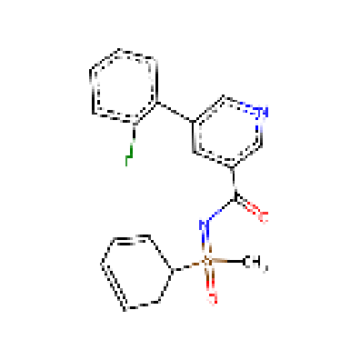 CS(=O)(=NC(=O)c1cncc(-c2ccccc2F)c1)C1C=CC=CC1